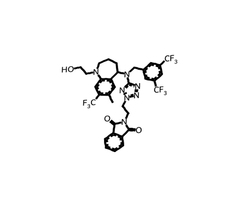 Cc1cc2c(cc1C(F)(F)F)N(CCO)CCCC2N(Cc1cc(C(F)(F)F)cc(C(F)(F)F)c1)c1nnn(CCN2C(=O)c3ccccc3C2=O)n1